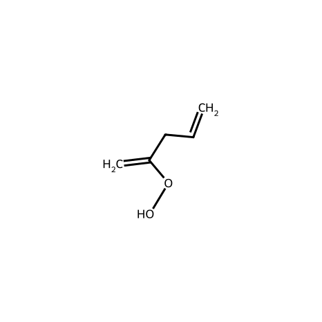 C=CCC(=C)OO